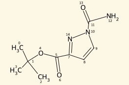 CC(C)(C)OC(=O)c1ccn(C(N)=O)n1